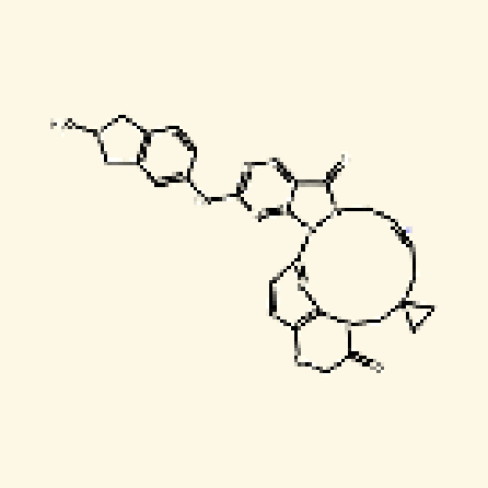 CN1Cc2ccc(Nc3ncc4c(=O)n5n(c4n3)-c3ccc4c(n3)N(CC3(C/C=C\C5)CC3)C(=O)CO4)cc2C1